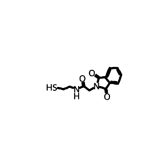 O=C(CN1C(=O)c2ccccc2C1=O)NCCS